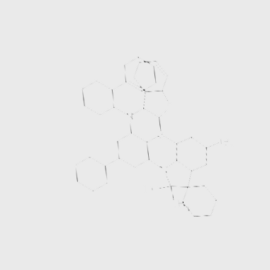 CC(C)(C)C1CC2B3C4OC5C=CCCC5C4N(C4CCCCC4C4=CCCCC4)C4CC(C5CCCCC5)CC(C34)N3C2C(C1)C1(CCCCC1)C3(C)C